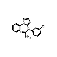 NC(=O)N(c1cccc(Cl)c1)c1ncnn1-c1ccccc1